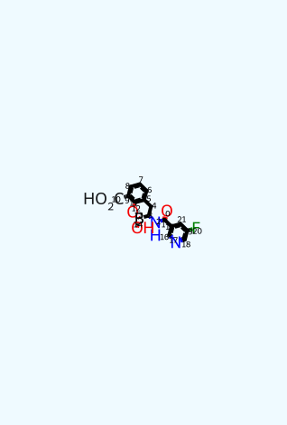 O=C(NC1Cc2cccc(C(=O)O)c2OB1O)c1cncc(F)c1